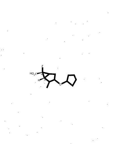 CC1C(OC2CCCC2)CC2[C@H]1[C@@]2(F)C(=O)O